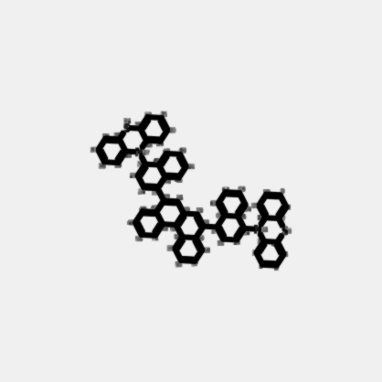 c1ccc2c(c1)Sc1ccccc1N2c1ccc(-c2cc3cc(-c4ccc(N5c6ccccc6Sc6ccccc65)c5ccccc45)c4ccccc4c3c3ccccc23)c2ccccc12